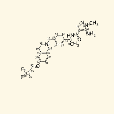 C[C@H](NC(=O)c1cnn(C)c1N)c1ccc(CN2CCc3cc(OCC4CC4(F)F)ccc3C2)cc1